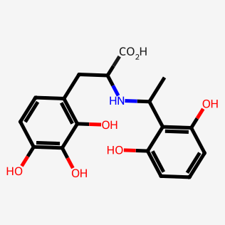 CC(NC(Cc1ccc(O)c(O)c1O)C(=O)O)c1c(O)cccc1O